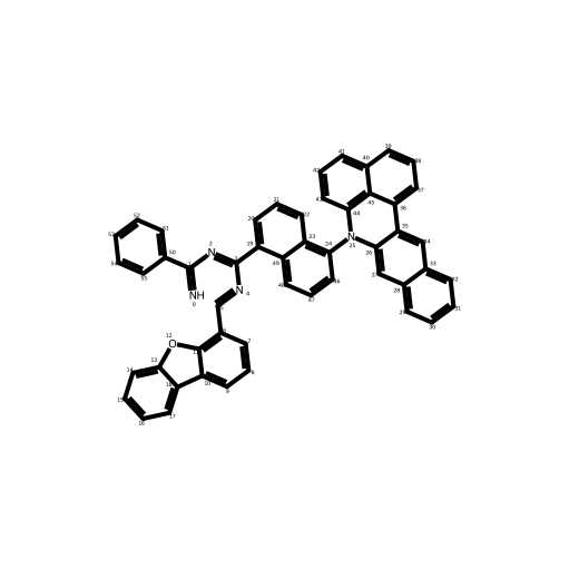 N=C(/N=C(\N=C\c1cccc2c1oc1ccccc12)c1cccc2c(N3c4cc5ccccc5cc4-c4cccc5cccc3c45)cccc12)c1ccccc1